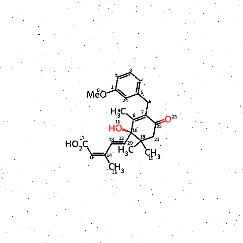 COc1cccc(CC2=C(C)[C@@](O)(/C=C/C(C)=C\C(=O)O)C(C)(C)CC2=O)c1